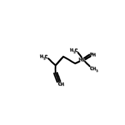 C#CC(C)CC[SH](C)(C)=P